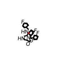 O=C(NCc1ccc(F)cc1)C1CNCC2C(=O)OC(c3cccc(F)c3)(c3cccc(F)c3)N12